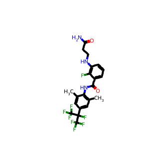 Cc1cc(C(F)(C(F)(F)F)C(F)(F)F)cc(C)c1NC(=O)c1cccc(NCCC(N)=O)c1F